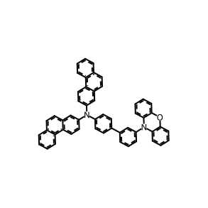 c1cc(-c2ccc(N(c3ccc4c(ccc5ccccc54)c3)c3ccc4c(ccc5ccccc54)c3)cc2)cc(N2c3ccccc3Oc3ccccc32)c1